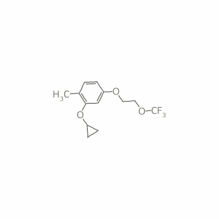 Cc1ccc(OCCOC(F)(F)F)cc1OC1CC1